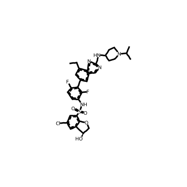 CCc1cc(-c2c(F)ccc(NS(=O)(=O)c3cc(Cl)cc4c3OC[C@H]4O)c2F)cc2cnc(NC3CCN(C(C)C)CC3)nc12